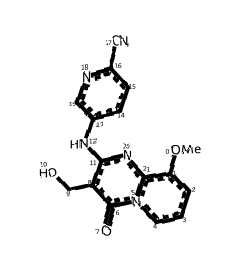 COc1cccn2c(=O)c(CO)c(Nc3ccc(C#N)nc3)nc12